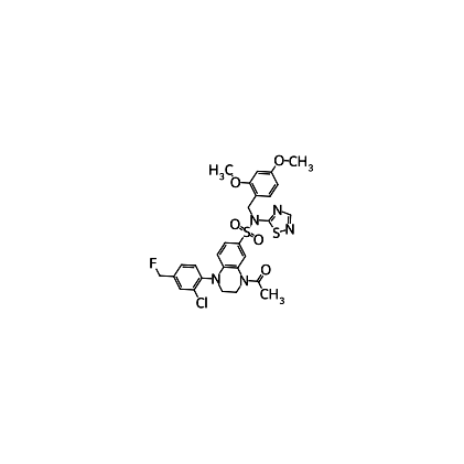 COc1ccc(CN(c2ncns2)S(=O)(=O)c2ccc3c(c2)N(C(C)=O)CCN3c2ccc(CF)cc2Cl)c(OC)c1